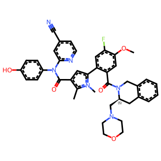 COc1cc(C(=O)N2Cc3ccccc3C[C@H]2CN2CCOCC2)c(-c2cc(C(=O)N(c3ccc(O)cc3)c3cc(C#N)ccn3)c(C)n2C)cc1F